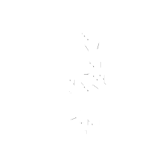 CC(C)[C@@H](N)C(=O)OCC[C@@H]1CCCCN1c1cc(NCc2ccc[n+]([O-])c2)n2ncc(Br)c2n1